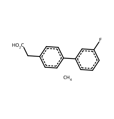 C.O=C(O)Cc1ccc(-c2cccc(F)c2)cc1